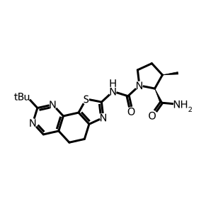 C[C@@H]1CCN(C(=O)Nc2nc3c(s2)-c2nc(C(C)(C)C)ncc2CC3)[C@@H]1C(N)=O